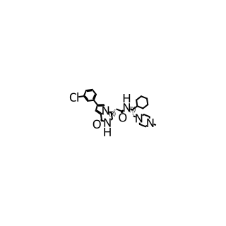 CN1CCN(C[C@H](NC(=O)C[C@@H]2CNC(=O)c3cc(-c4cccc(Cl)c4)cn32)C2CCCCC2)CC1